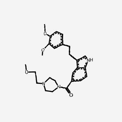 COCCN1CCN(C(=O)c2ccc3[nH]cc(CCc4ccc(OC)c(OC)c4)c3c2)CC1